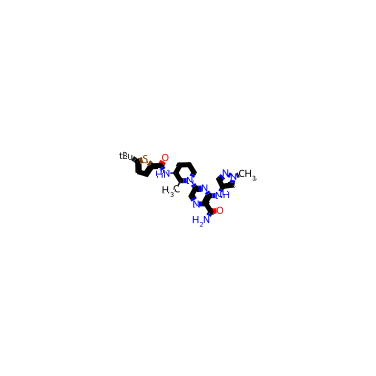 C[C@@H]1[C@H](NC(=O)c2ccc(C(C)(C)C)s2)CCCN1c1cnc(C(N)=O)c(Nc2cnn(C)c2)n1